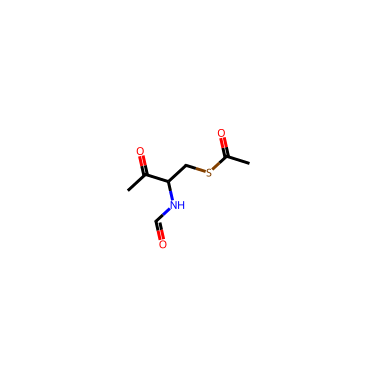 CC(=O)SCC(NC=O)C(C)=O